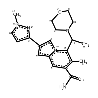 Cc1c(C(N)=O)cc2cc(-c3ccn(C)n3)cn2c1C(C)N1CCOCC1